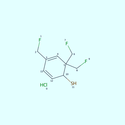 Cl.FCC1=CC(CF)(CF)C(S)C=C1